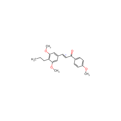 CCCc1c(OC)cc(/C=C/C(=O)c2ccc(OC)cc2)cc1OC